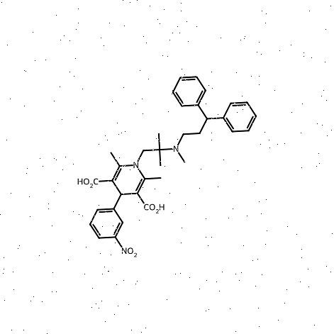 CC1=C(C(=O)O)C(c2cccc([N+](=O)[O-])c2)C(C(=O)O)=C(C)N1CC(C)(C)N(C)CCC(c1ccccc1)c1ccccc1